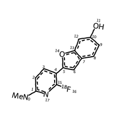 CNc1ccc(-c2cc3ccc(O)cc3o2)c([18F])n1